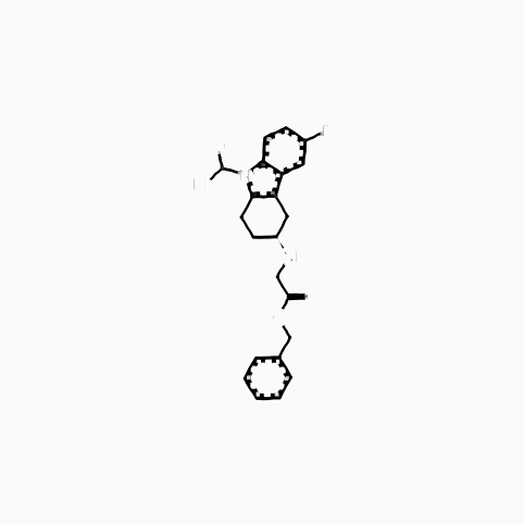 CCC(C(=O)O)n1c2c(c3cc(F)ccc31)C[C@@H](NCC(=O)OCc1ccccc1)CC2